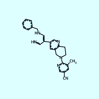 Cc1cc(C#N)cnc1N1CCc2ncc(/C(C=N)=C/NCc3ccccc3)cc2C1